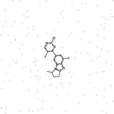 CC1CCc2nc3c(F)cc(-c4nc(Cl)ncc4F)cc3n21